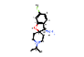 CC(C)N1CCC2(CC1)Oc1cc(F)ccc1[C@H]2N